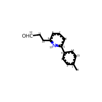 Cc1ccc(-c2cccc(CCC=O)n2)cc1